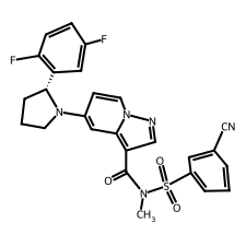 CN(C(=O)c1cnn2ccc(N3CCC[C@@H]3c3cc(F)ccc3F)cc12)S(=O)(=O)c1cccc(C#N)c1